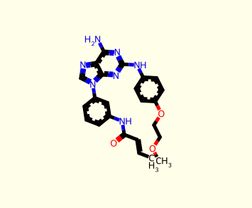 CC=CC(=O)Nc1cccc(-n2cnc3c(N)nc(Nc4ccc(OCCOC)cc4)nc32)c1